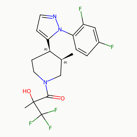 C[C@H]1CN(C(=O)C(C)(O)C(F)(F)F)CC[C@H]1c1ccnn1-c1ccc(F)cc1F